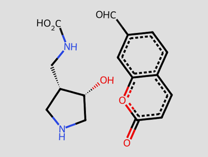 O=C(O)NC[C@H]1CNC[C@H]1O.O=Cc1ccc2ccc(=O)oc2c1